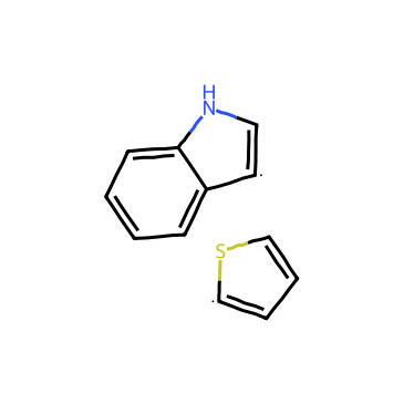 [c]1c[nH]c2ccccc12.[c]1cccs1